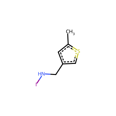 Cc1cc(CNI)cs1